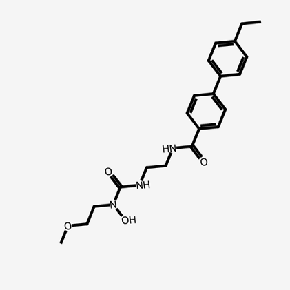 CCc1ccc(-c2ccc(C(=O)NCCNC(=O)N(O)CCOC)cc2)cc1